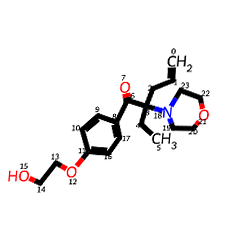 C=CCC(CC)(C(=O)c1ccc(OCCO)cc1)N1CCOCC1